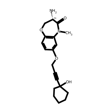 CN1C(=O)[C@@H](N)COc2ccc(OCC#CC3(O)CCCCC3)cc21